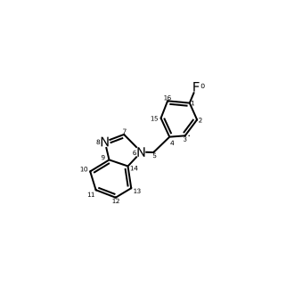 Fc1c[c]c(Cn2cnc3ccccc32)cc1